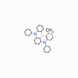 CC1CC=CC2=C1B1c3ccccc3N(c3ccccc3)c3cccc(c31)N2c1ccccc1